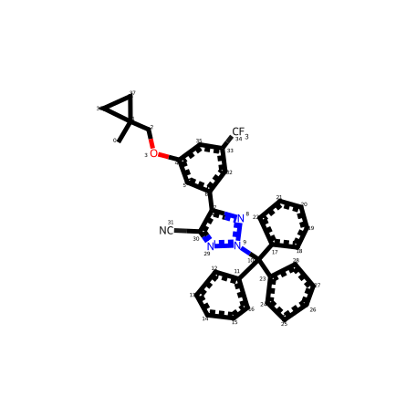 CC1(COc2cc(-c3nn(C(c4ccccc4)(c4ccccc4)c4ccccc4)nc3C#N)cc(C(F)(F)F)c2)CC1